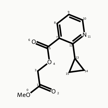 COC(=O)COC(=O)c1cccnc1C1CC1